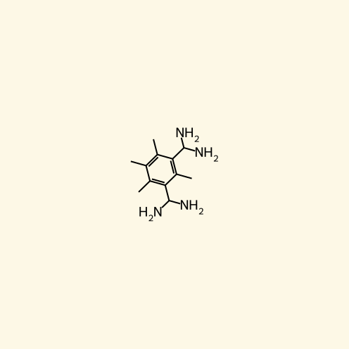 Cc1c(C)c(C(N)N)c(C)c(C(N)N)c1C